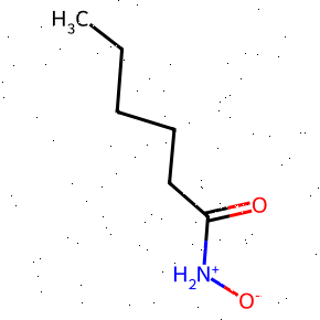 CCCCCC(=O)[NH2+][O-]